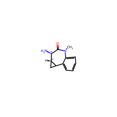 CN1C(=O)[C@H](N)[C@H]2CC2c2ccccc21